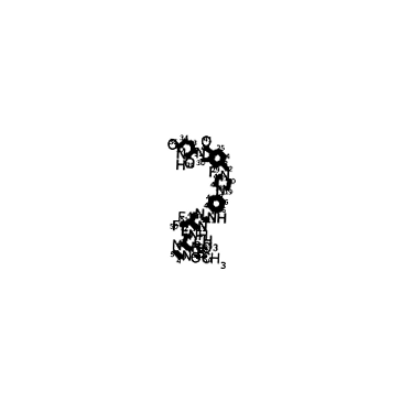 CN(c1nccnc1CNc1nc(Nc2ccc(N3CCN(Cc4ccc5c(c4F)CN(C4CCC(=O)NC4=O)C5=O)CC3)cc2)ncc1C(F)(F)F)S(C)(=O)=O